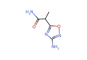 C[C](C(N)=O)c1nc(N)no1